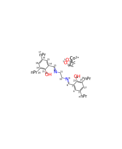 CC(=O)[O-].CC(=O)[O-].CCCc1cc(C=NCCN=Cc2cc(CCC)cc(CCC)c2O)c(O)c(CCC)c1.[Co+2]